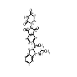 CCN[C@@H]1c2ccccc2C[C@H]1N(C)c1ccc2c(c1)C(=O)N(C1CCC(=O)NC1=O)C2=O